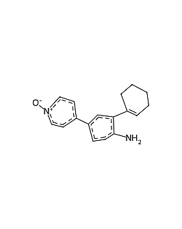 Nc1ccc(-c2cc[n+]([O-])cc2)cc1C1=CCCCC1